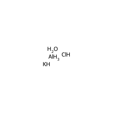 Cl.O.[AlH3].[KH]